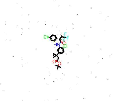 C[C@H]([C@H](C(=O)Nc1cc(C2(CC(=O)OC(C)(C)C)CC2)ccc1Cl)c1ccc(Cl)cc1)C(F)(F)F